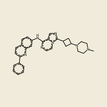 CN1CCN(C2CC(c3ncc4c(Nc5ccc6ccc(-c7ccccc7)nc6c5)nccn34)C2)CC1